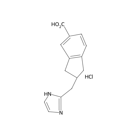 Cl.O=C(O)c1ccc2c(c1)CC(Cc1ncc[nH]1)C2